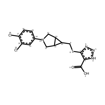 O=C(O)c1[nH]nnc1SCC1C2CN(c3ccc(Cl)c(Cl)c3)CC12